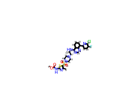 COC(=O)Nc1nc(C)c(S(=O)(=O)N2CCN(C[C@H](C)Nc3ncnc4c(-c5ccc(F)c(Cl)n5)cccc34)CC2)s1